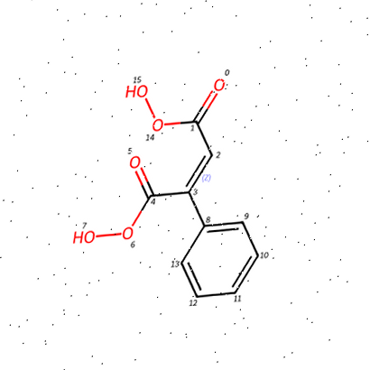 O=C(/C=C(\C(=O)OO)c1ccccc1)OO